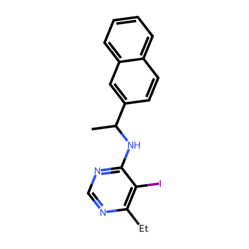 CCc1ncnc(NC(C)c2ccc3ccccc3c2)c1I